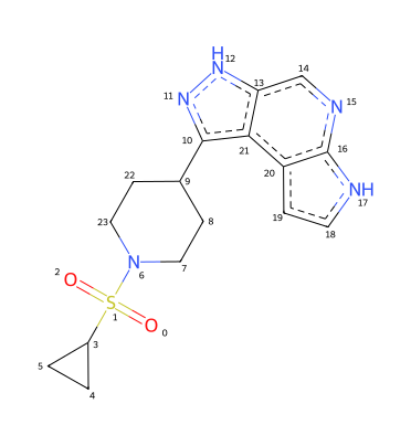 O=S(=O)(C1CC1)N1CCC(c2n[nH]c3cnc4[nH]ccc4c23)CC1